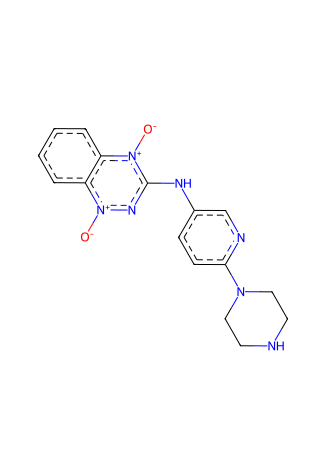 [O-][n+]1nc(Nc2ccc(N3CCNCC3)nc2)[n+]([O-])c2ccccc21